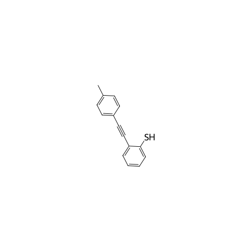 Cc1ccc(C#Cc2ccccc2S)cc1